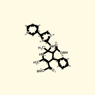 COC(=O)C1=C(C)NC(C)(Nc2nc(-c3cccnc3)cs2)C(C(=O)OC)C1c1ccccc1